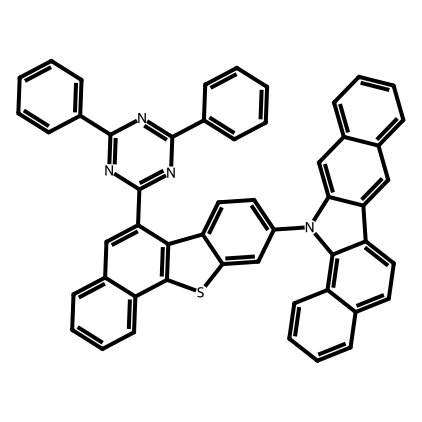 c1ccc(-c2nc(-c3ccccc3)nc(-c3cc4ccccc4c4sc5cc(-n6c7cc8ccccc8cc7c7ccc8ccccc8c76)ccc5c34)n2)cc1